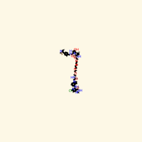 Cc1ncsc1-c1ccc(CNC(=O)[C@@H]2C[C@@H](O)CN2C(=O)[C@@H](NC(=O)COCCOCCOCCOCCNC(=O)Cn2ccc3c(Nc4nc(Cl)cc5nc[nH]c(=O)c45)cccc32)C(C)(C)C)cc1